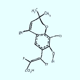 CCOc1c(C(CC)=C(F)C(=O)O)cc2c(c1Cl)OC(C)(C)C=C2C(C)C